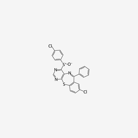 [O-][S+](c1ccc(Cl)cc1)c1ncnc2c1N=C(c1ccccc1)c1cc(Cl)ccc1S2